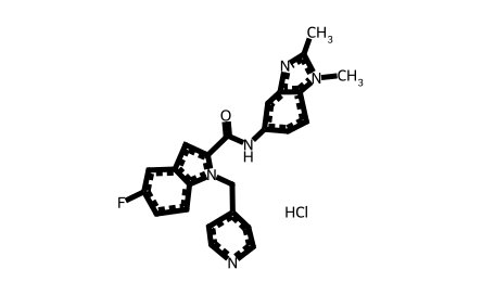 Cc1nc2cc(NC(=O)c3cc4cc(F)ccc4n3Cc3ccncc3)ccc2n1C.Cl